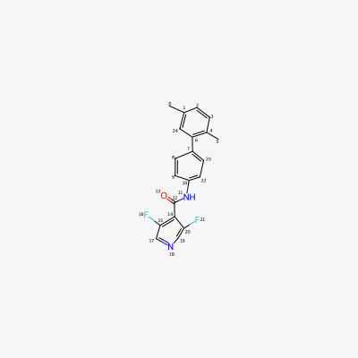 Cc1ccc(C)c(-c2ccc(NC(=O)c3c(F)cncc3F)cc2)c1